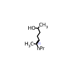 CCC/C(C)=C/CCC(C)O